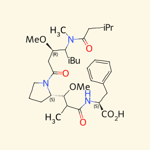 CCC(C)C([C@@H](CC(=O)N1CCC[C@H]1C(OC)C(C)C(=O)N[C@@H](Cc1ccccc1)C(=O)O)OC)N(C)C(=O)CC(C)C